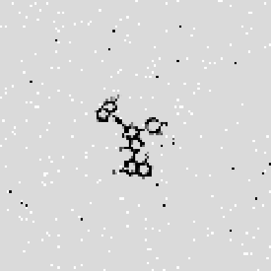 C[C@H]1CN(c2nc(C#C[C@@]34CCCN3C[C@H](F)C4)nc3c(F)c(-c4cc(O)cc5cccc(Cl)c45)ncc23)CCN1